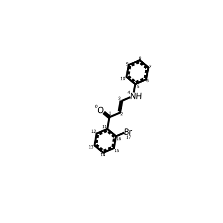 O=C(C=CNc1ccccc1)c1ccccc1Br